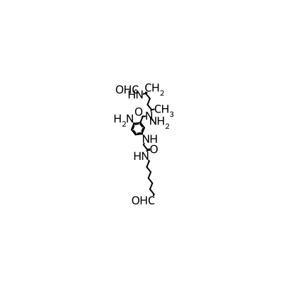 C=C(CCC(C)N(N)C(=O)c1cc(NCC(=O)NCCCCCCCC=O)ccc1N)NC=O